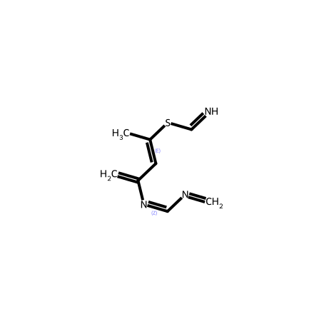 C=N/C=N\C(=C)/C=C(\C)SC=N